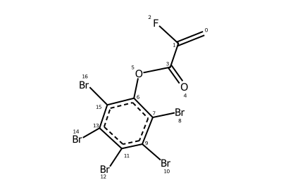 C=C(F)C(=O)Oc1c(Br)c(Br)c(Br)c(Br)c1Br